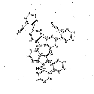 N#Cc1ccccc1-c1ccc2c(c1)c1cc(-c3ccccc3C#N)ccc1n2-c1cccc2c1C(=O)N(c1ccccc1-c1ccccc1)C2O